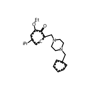 CCOc1cc(C(C)C)ccc(CN2CCN(Cc3ccccc3)CC2)c1=O